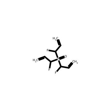 C=CC(F)P(=O)(C(F)C=C)C(F)C=C